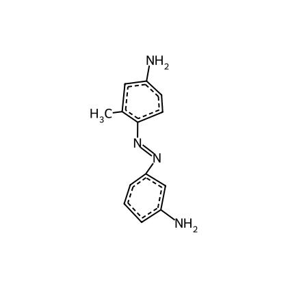 Cc1cc(N)ccc1N=Nc1cccc(N)c1